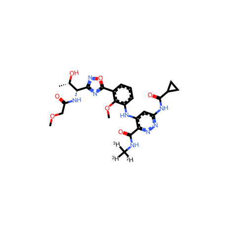 [2H]C([2H])([2H])NC(=O)c1nnc(NC(=O)C2CC2)cc1Nc1cccc(-c2nc([C@H](NC(=O)COC)[C@H](C)O)no2)c1OC